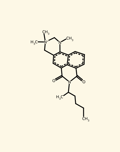 CCCCC(C)N1C(=O)c2cccc3c4c(cc(c23)C1=O)C[N+](C)(C)CN4C